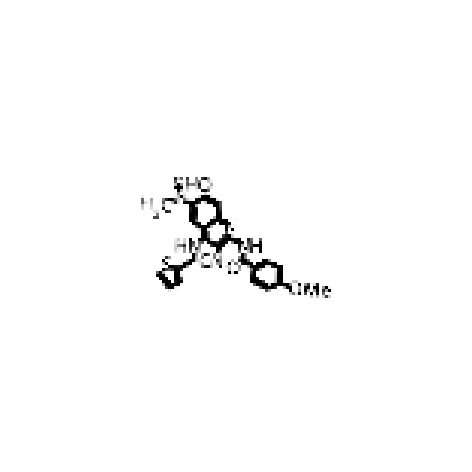 COc1ccc(C(=O)Nc2nc3ccc(N(C)C=O)cc3c(NCc3cccs3)c2C#N)cc1